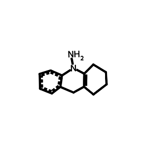 NN1C2=C(CCCC2)Cc2ccccc21